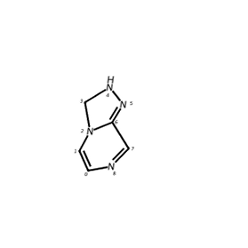 C1=CN2CNN=C2C=N1